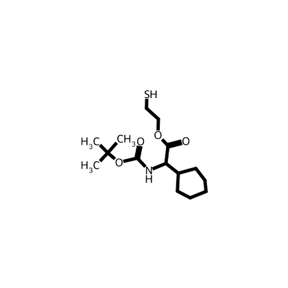 CC(C)(C)OC(=O)NC(C(=O)OCCS)C1CCCCC1